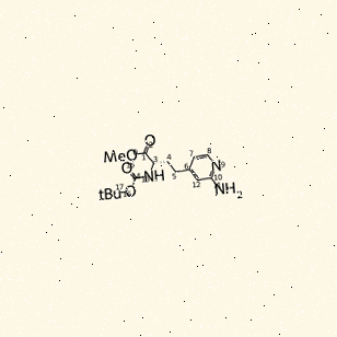 COC(=O)[C@H](CCc1ccnc(N)c1)NC(=O)OC(C)(C)C